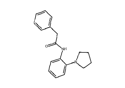 O=C(Cc1ccccc1)Nc1ccccc1N1CCCC1